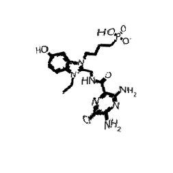 CC[n+]1c(CNC(=O)c2nc(Cl)c(N)nc2N)n(CCCCP(=O)([O-])O)c2cc(O)ccc21